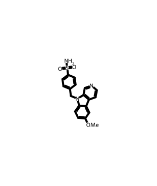 COc1ccc2c(c1)c1ccncc1n2Cc1ccc(S(N)(=O)=O)cc1